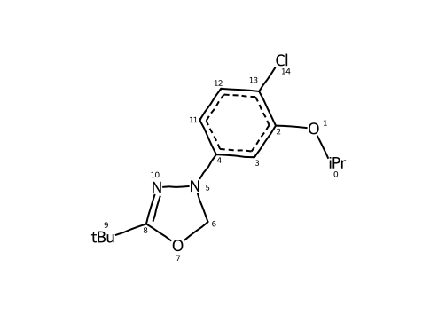 CC(C)Oc1cc(N2COC(C(C)(C)C)=N2)ccc1Cl